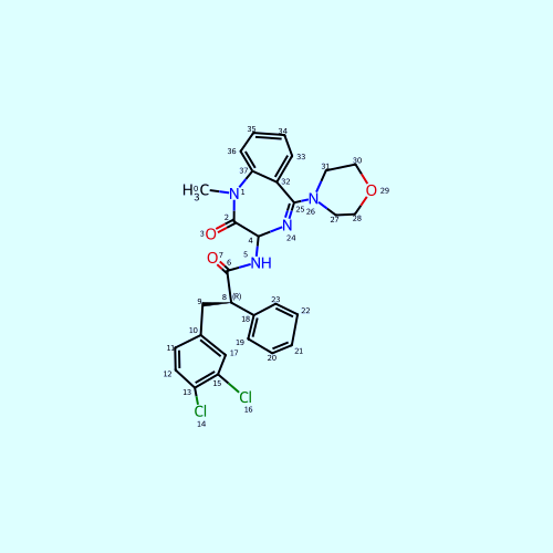 CN1C(=O)C(NC(=O)[C@H](Cc2ccc(Cl)c(Cl)c2)c2ccccc2)N=C(N2CCOCC2)c2ccccc21